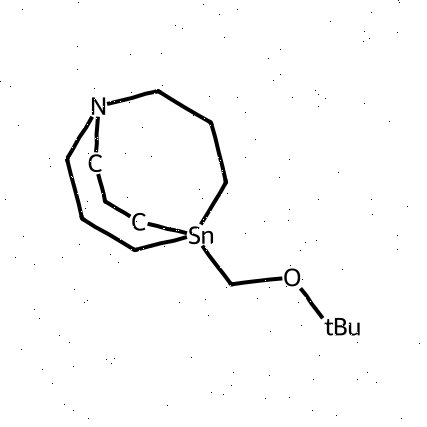 CC(C)(C)O[CH2][Sn]12[CH2]CCN(CC[CH2]1)CC[CH2]2